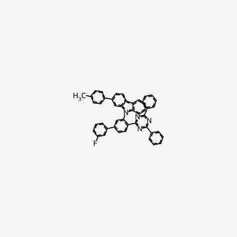 Cc1ccc(-c2ccc3c4ccccc4n(-c4cc(-c5cccc(F)c5)ccc4-c4nc(-c5ccccc5)nc(-c5ccccc5)n4)c3c2)cc1